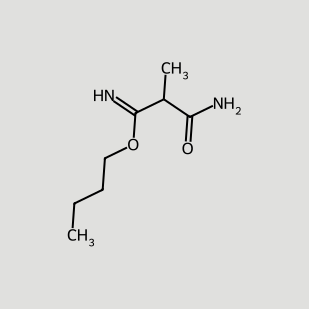 CCCCOC(=N)C(C)C(N)=O